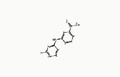 Cc1cc(Nc2cccc(C(=O)O)c2)ccn1